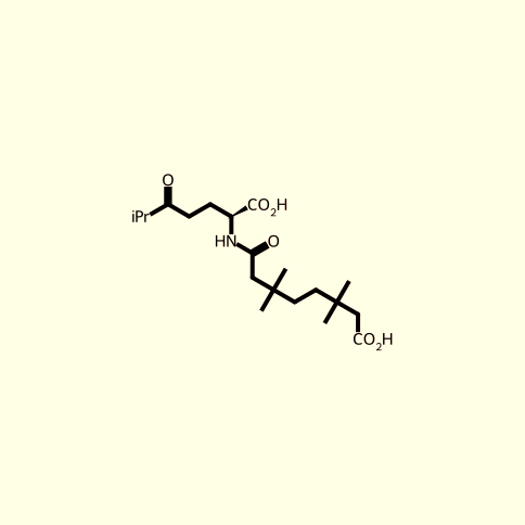 CC(C)C(=O)CC[C@H](NC(=O)CC(C)(C)CCC(C)(C)CC(=O)O)C(=O)O